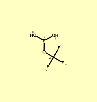 OP(O)OC(F)(F)F